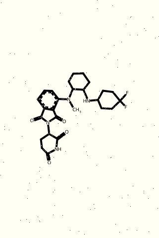 CN(c1cccc2c1C(=O)N(C1CCC(=O)NC1=O)C2=O)C1CCCCC1NC1CCC(F)(F)CC1